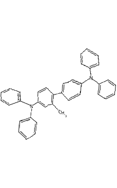 Cc1cc(N(c2ccccc2)c2ccccc2)ccc1-c1ccc(N(c2ccccc2)c2ccccc2)cc1